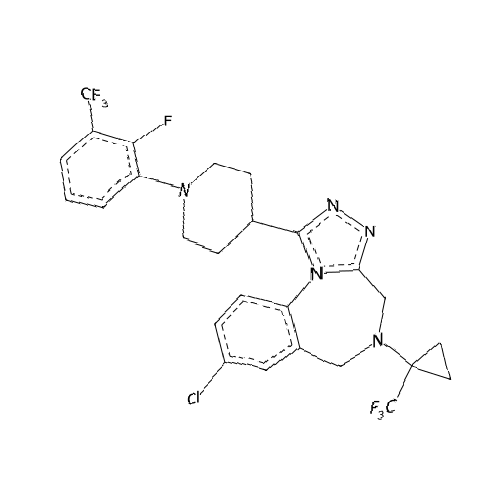 Fc1c(N2CCC(c3nnc4n3-c3ccc(Cl)cc3CN(C3(C(F)(F)F)CC3)C4)CC2)cccc1C(F)(F)F